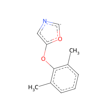 Cc1cccc(C)c1Oc1cn[c]o1